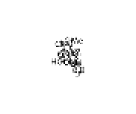 COc1ccc(N(C(=O)CO)C(C(=O)NCc2ccccc2)c2cccs2)cc1Cl